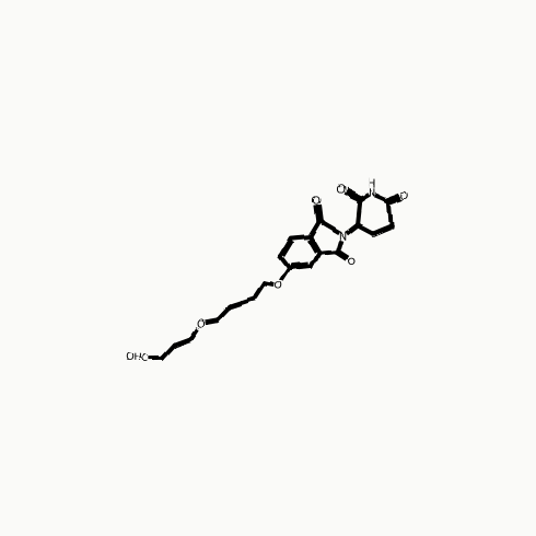 O=CCCCOCCCCOc1ccc2c(c1)C(=O)N(C1CCC(=O)NC1=O)C2=O